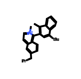 Cc1c(-c2c3ccc(CC(C)C)cc3cc[n+]2C)cc(C(C)(C)C)c2ccccc12